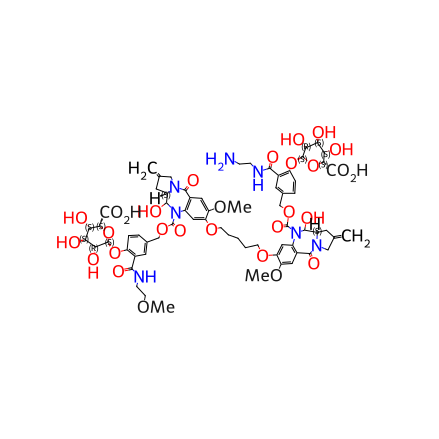 C=C1C[C@H]2C(O)N(C(=O)OCc3ccc(O[C@@H]4O[C@H](C(=O)O)[C@@H](O)[C@H](O)[C@H]4O)c(C(=O)NCCN)c3)c3cc(OCCCCCOc4cc5c(cc4OC)C(=O)N4CC(=C)C[C@H]4C(O)N5C(=O)OCc4ccc(O[C@@H]5O[C@H](C(=O)O)[C@@H](O)[C@H](O)[C@H]5O)c(C(=O)NCCOC)c4)c(OC)cc3C(=O)N2C1